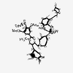 COc1cc(C(=O)N(C)CC(CCN2CCC(Nc3nc4c(Cc5ccco5)cccc4[nH]3)CC2)c2ccc(F)c(F)c2)cc(OC)c1OC